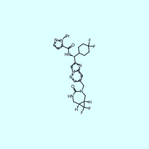 CC(C)n1nccc1C(=O)N[C@H](c1cn2ncc(CN3C[C@H]4[C@@H](CNC3=O)C4(F)F)cc2n1)C1CCC(F)(F)CC1